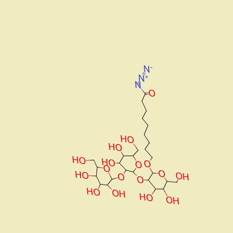 [N-]=[N+]=NC(=O)CCCCCCCCOC1OC(CO)C(O)C(O)C1OC1OC(CO)C(O)C(O)C1OC1OC(CO)C(O)C(O)C1O